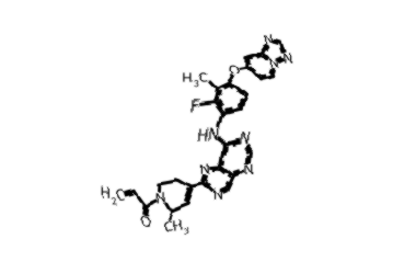 C=CC(=O)N1CCC(c2ncc3ncnc(Nc4ccc(Oc5ccn6ncnc6c5)c(C)c4F)c3n2)=C[C@H]1C